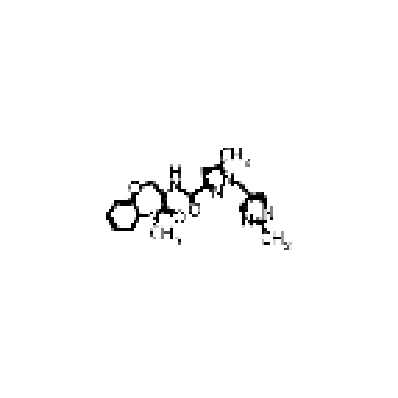 Cc1ncc(Cn2nc(C(=O)N[C@H]3COC4=CC=CCC4N(C)C3=O)cc2C)cn1